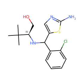 CC(C)(C)[C@@H](CO)NC(c1cnc(N)s1)c1ccccc1Cl